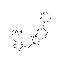 O=C(O)Cc1nnc(Cc2nc3cnc(-c4ccccc4)cc3s2)o1